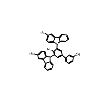 CC(C)(C)c1ccc2c(c1)c1ccccc1n2-c1cc(-c2cccc(C#N)c2)cc(-n2c3ccccc3c3cc(C(C)(C)C)ccc32)c1C#N